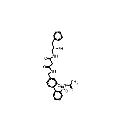 CC(=O)NS(=O)(=O)c1ccccc1-c1ccc(CNC(=O)CC(=O)NC[C@H](S)Cc2ccccc2)cc1